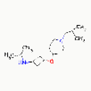 CC(C)CN1CCC(O[C@H]2C[C@H](NC(C)C)C2)CC1